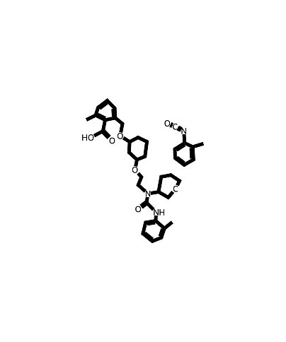 Cc1ccccc1N=C=O.Cc1ccccc1NC(=O)N(CCOC1CCCC(OCc2cccc(C)c2C(=O)O)C1)C1CCCCC1